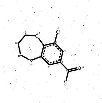 O=C(O)c1cc(Cl)c2c(c1)SCCCO2